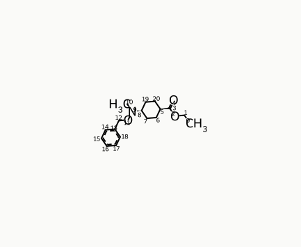 CCOC(=O)[C@H]1CC[C@H](N(C)OCc2ccccc2)CC1